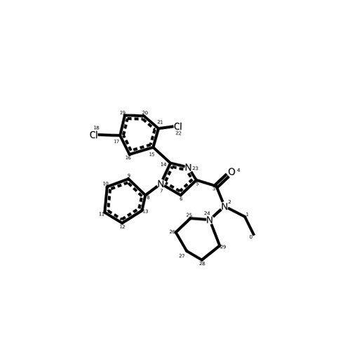 CCN(C(=O)c1cn(-c2ccccc2)c(-c2cc(Cl)ccc2Cl)n1)N1CCCCC1